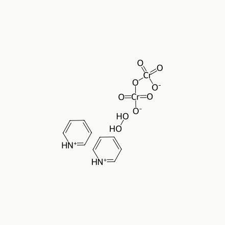 OO.[O]=[Cr](=[O])([O-])[O][Cr](=[O])(=[O])[O-].c1cc[nH+]cc1.c1cc[nH+]cc1